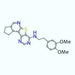 COc1ccc(CCNc2ncnc3c2sc2ncc4c(c23)CCC4)cc1OC